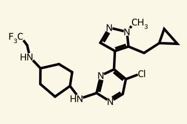 Cn1ncc(-c2nc(NC3CCC(NCC(F)(F)F)CC3)ncc2Cl)c1CC1CC1